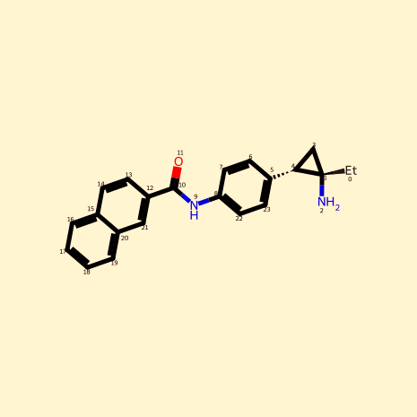 CC[C@]1(N)C[C@H]1c1ccc(NC(=O)c2ccc3ccccc3c2)cc1